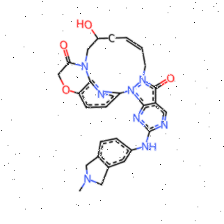 CN1Cc2ccc(Nc3ncc4c(=O)n5n(c4n3)-c3ccc4c(n3)N(CC(O)C/C=C\C5)C(=O)CO4)cc2C1